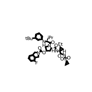 CC[C@@H]1C[C@]1(NC(=O)[C@@H]1C[C@@H](OC(=O)N2Cc3cccc(F)c3C2)CN1C(=O)[C@@H](Nc1cccc(C(C)(C)C)c1)C(C)C)C(=O)NS(=O)(=O)C1CC1